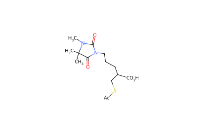 CC(=O)SCC(CCCN1C(=O)N(C)C(C)(C)C1=O)C(=O)O